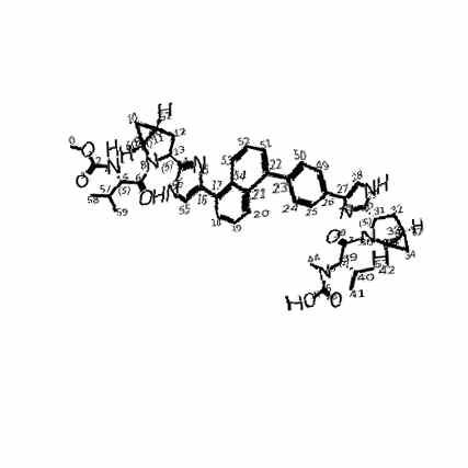 COC(=O)N[C@H](C(=O)N1[C@@H]2C[C@@H]2C[C@H]1c1nc(-c2cccc3c(-c4ccc(-c5c[nH]c([C@@H]6C[C@H]7C[C@H]7N6C(=O)[C@H](C(C)C)N(C)C(=O)O)n5)cc4)cccc23)c[nH]1)C(C)C